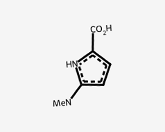 CNc1ccc(C(=O)O)[nH]1